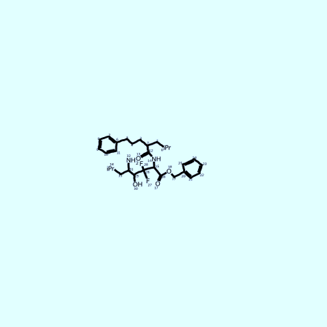 CC(C)CC(CCCc1ccccc1)C(=O)NC(C(=O)OCc1ccccc1)C(F)(F)C(O)C(N)CC(C)C